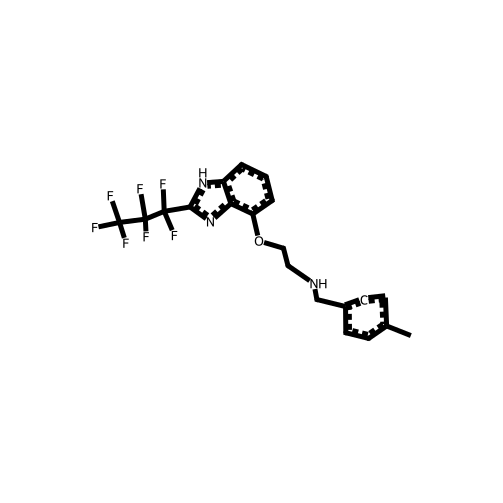 Cc1ccc(CNCCOc2cccc3[nH]c(C(F)(F)C(F)(F)C(F)(F)F)nc23)cc1